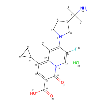 Cc1c(N2CCC(C(C)(C)N)C2)c(F)cn2c(=O)c(C(=O)O)cc(C3CC3)c12.Cl